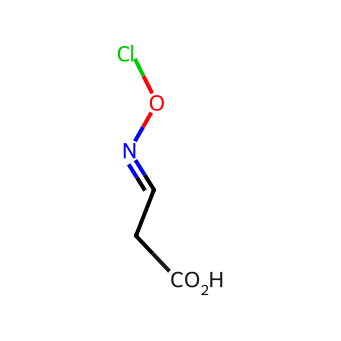 O=C(O)CC=NOCl